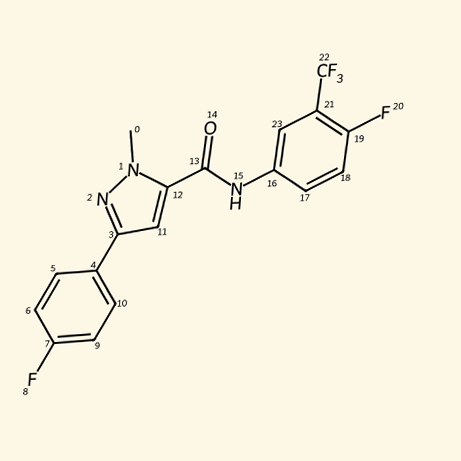 Cn1nc(-c2ccc(F)cc2)cc1C(=O)Nc1ccc(F)c(C(F)(F)F)c1